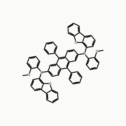 COc1ccccc1N(c1ccc2c(-c3ccccc3)c3cc(N(c4ccccc4OC)c4cccc5c4oc4ccccc45)ccc3c(-c3ccccc3)c2c1)c1cccc2c1oc1ccccc12